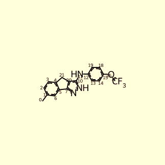 Cc1ccc2c(c1)-c1n[nH]c(Nc3ccc(OC(F)(F)F)cc3)c1C2